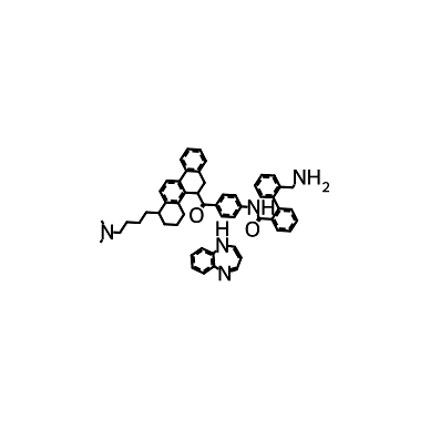 C1=CNc2ccccc2N=C1.CN(C)CCCCC1CCCc2c1ccc1c2C(C(=O)c2ccc(NC(=O)c3ccccc3-c3ccccc3CN)cc2)Cc2ccccc2-1